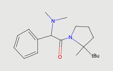 CN(C)C(C(=O)N1CCCC1(C)C(C)(C)C)c1ccccc1